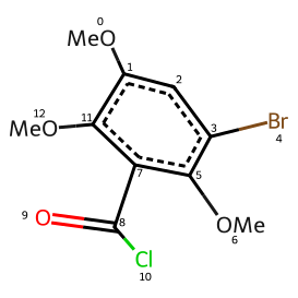 COc1cc(Br)c(OC)c(C(=O)Cl)c1OC